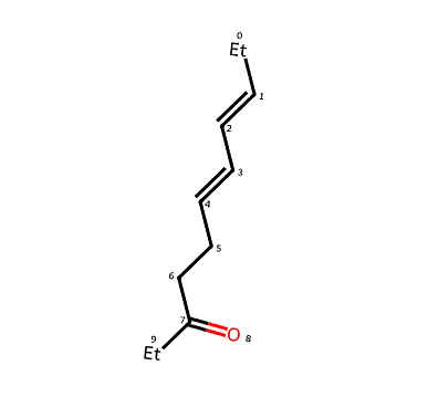 CC/C=C/C=C/CCC(=O)CC